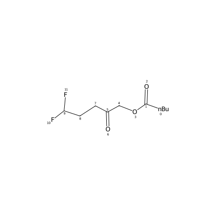 CCCCC(=O)OCC(=O)CCC(F)F